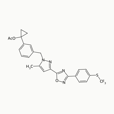 CC(=O)OC1(c2cccc(Cn3nc(-c4nc(-c5ccc(SC(F)(F)F)cc5)no4)cc3C)c2)CC1